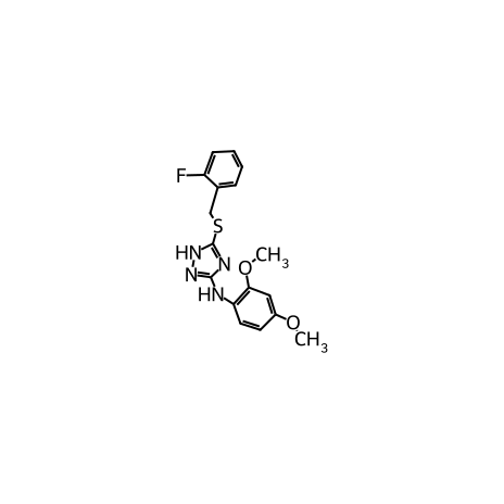 COc1ccc(Nc2n[nH]c(SCc3ccccc3F)n2)c(OC)c1